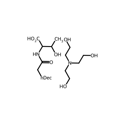 CCCCCCCCCCCC(=O)NC(C(=O)O)C(C)O.OCCN(CCO)CCO